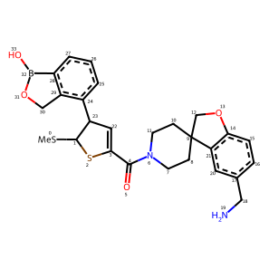 CSC1SC(C(=O)N2CCC3(CC2)COc2ccc(CN)cc23)=CC1c1cccc2c1COB2O